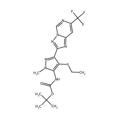 CCSc1c(-c2nc3cc(C(F)(F)F)ncn3n2)nn(C)c1NC(=O)OC(C)(C)C